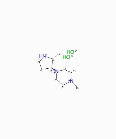 C[C@H]1NCC[C@@H]1N1CCN(C)CC1.Cl.Cl